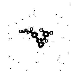 CC(C)(C)OOC(=O)c1ccc(C=Cc2ccccc2NC(=O)c2cc(Cl)cc(Cl)c2)cc1